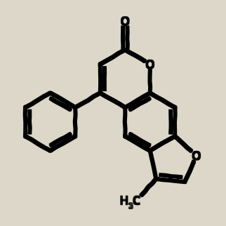 Cc1coc2cc3oc(=O)cc(-c4ccccc4)c3cc12